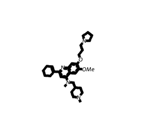 COc1cc2c(N(C)CC3CCN(C)CC3)cc(C3=CCCCC3)nc2cc1OCCCN1CCCC1